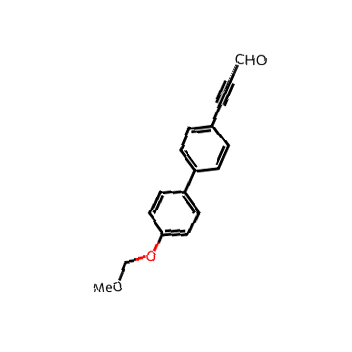 COCOc1ccc(-c2ccc(C#CC=O)cc2)cc1